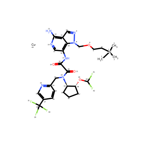 C[Si](C)(C)CCOCn1ncc2c(N)ncc(NC(=O)C(=O)N(Cc3ccc(C(F)(F)F)cn3)[C@@H]3CCC[C@H]3OC(F)F)c21.[Cu]